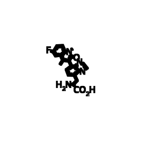 Cc1c(-c2ccc(CC(N)C(=O)O)c3nccnc23)c(=O)n(C)c2ccc(F)cc12